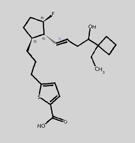 CCC1(C(O)C/C=C/[C@@H]2[C@@H](CCCc3ccc(C(=O)O)s3)CC[C@H]2F)CCC1